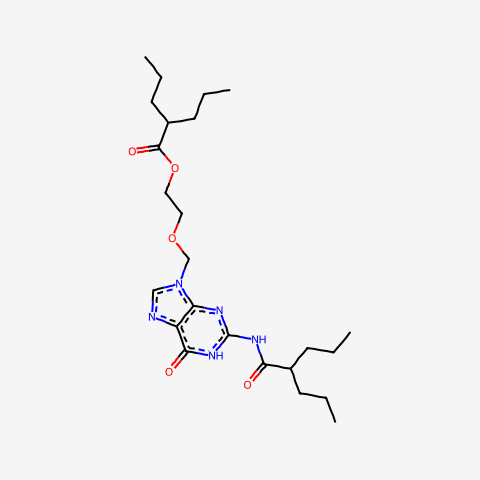 CCCC(CCC)C(=O)Nc1nc2c(ncn2COCCOC(=O)C(CCC)CCC)c(=O)[nH]1